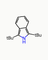 CC(C)(C)c1[nH]c(C(C)(C)C)c2ccccc12